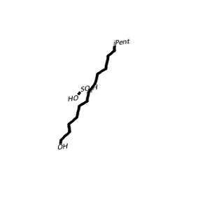 CCCC(C)CCCCCCCCCCCCO.O=S(=O)(O)O